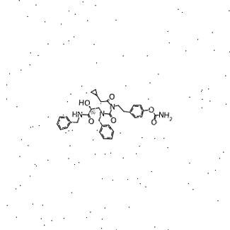 NC(=O)Oc1ccc(CCN(C(=O)[CH]C2CC2)C(=O)N(Cc2ccccc2)C[C@H](O)C(=O)NCc2ccccc2)cc1